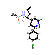 C=CC[C@](C)(N[S@@+]([O-])C(C)(C)C)c1cc(Cl)nc(-c2ccc(F)cc2)c1